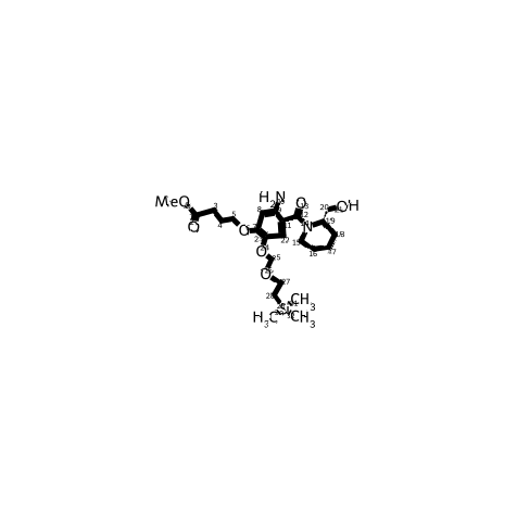 COC(=O)CCCOc1cc(N)c(C(=O)N2CCCC[C@H]2CO)cc1OCOCC[Si](C)(C)C